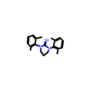 Cc1cccc(C)c1N1CCCN(c2c(C)cccc2C)C1=N